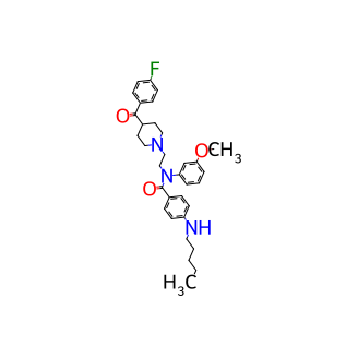 CCCCCNc1ccc(C(=O)N(CCN2CCC(C(=O)c3ccc(F)cc3)CC2)c2cccc(OC)c2)cc1